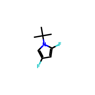 CC(C)(C)n1cc(F)cc1F